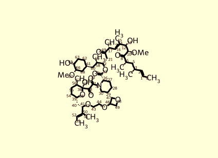 C/C=C/[C@@H](C)C[C@@H](C)C(=O)[C@H](OC)[C@H](O)/C(C)=C/[C@@H](C)C(=O)C[C@H](OC(=O)[C@@H]1CCCCN1C(=O)C(=O)[C@]1(O)O[C@H](C[C@H](OCCOC2COC2)/C(C)=C/C)CC[C@H]1C)[C@H](C)C[C@@H]1CC[C@@H](O)[C@H](OC)C1